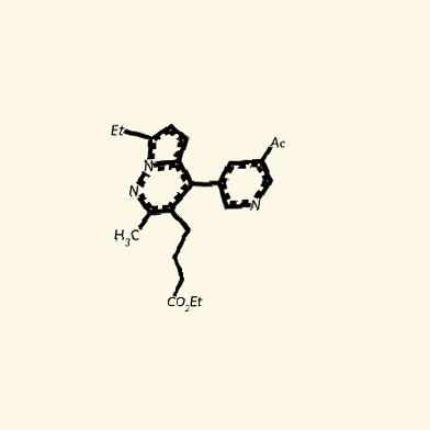 CCOC(=O)CCCc1c(C)nn2c(CC)ccc2c1-c1cncc(C(C)=O)c1